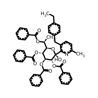 CCc1ccc(Cc2ccc(C)nc2[C@@]2(O)O[C@H]([C@H](C)OC(=O)c3ccccc3)[C@@H](OC(=O)c3ccccc3)[C@H](OC(=O)c3ccccc3)[C@H]2OC(=O)c2ccccc2)cc1